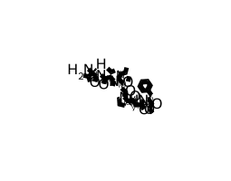 CC[C@H](C)[C@@H]([C@@H](CC(=O)N1CCC[C@H]1[C@H](OC)[C@@H](C)C(=O)N[C@@H](Cc1ccccc1)C(=O)OC)OC)N(C)[C@H](C(=O)NC(=O)[C@@](C)(N)C(C)C)C(C)C